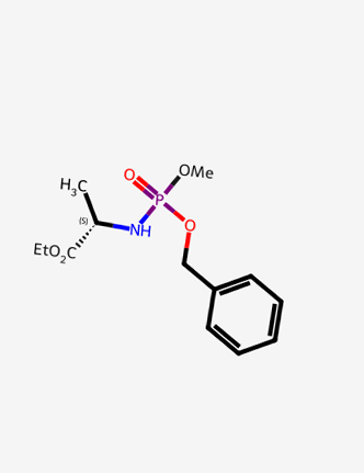 CCOC(=O)[C@H](C)NP(=O)(OC)OCc1ccccc1